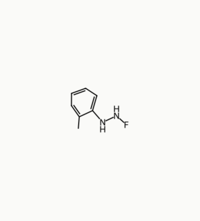 Cc1ccccc1NNF